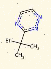 CCC(C)(C)c1nccnn1